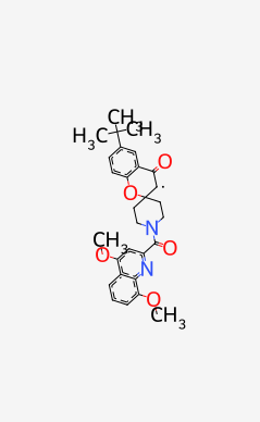 COc1cc(C(=O)N2CCC3([CH]C(=O)c4cc(C(C)(C)C)ccc4O3)CC2)nc2c(OC)cccc12